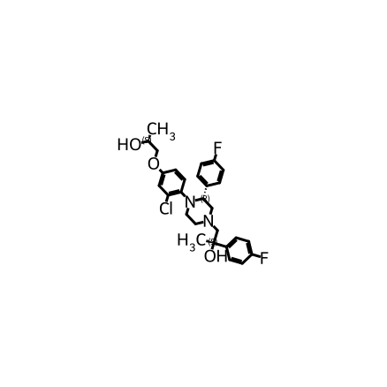 C[C@H](O)COc1ccc(N2CCN(C[C@@](C)(O)c3ccc(F)cc3)C[C@H]2c2ccc(F)cc2)c(Cl)c1